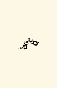 [BH3-][N+]12CCC(CC1)C1(CN=C(Nc3nc4ccc(C)cc4s3)O1)C2